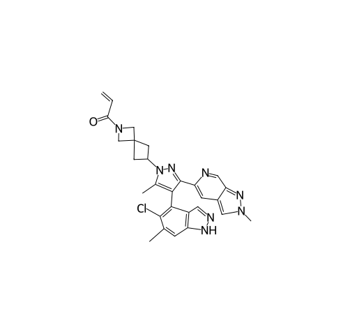 C=CC(=O)N1CC2(CC(n3nc(-c4cc5cn(C)nc5cn4)c(-c4c(Cl)c(C)cc5[nH]ncc45)c3C)C2)C1